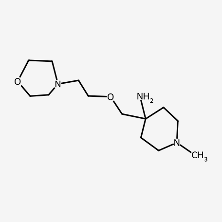 CN1CCC(N)(COCCN2CCOCC2)CC1